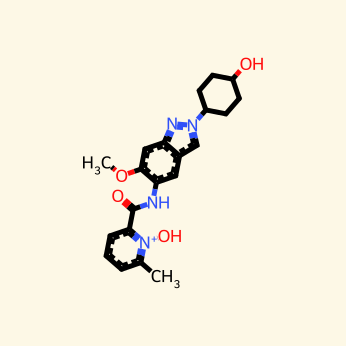 COc1cc2nn(C3CCC(O)CC3)cc2cc1NC(=O)c1cccc(C)[n+]1O